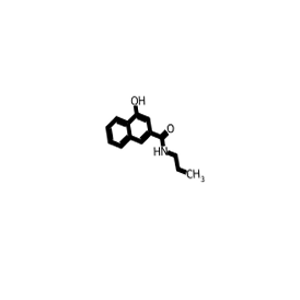 CCCNC(=O)c1cc(O)c2ccccc2c1